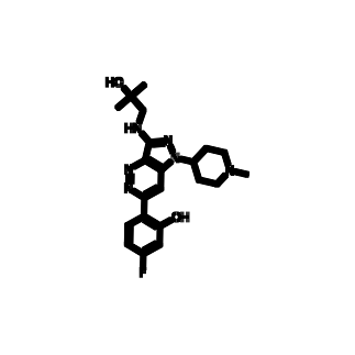 CN1CCC(n2nc(NCC(C)(C)O)c3nnc(-c4ccc(F)cc4O)cc32)CC1